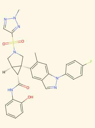 Cc1cc2c(cnn2-c2ccc(F)cc2)cc1[C@@]12CN(S(=O)(=O)c3cnn(C)n3)C[C@@H]1[C@H]2C(=O)Nc1ccccc1O